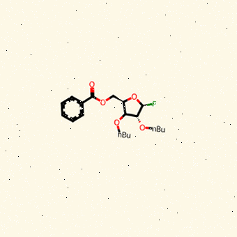 CCCCOC1[C@@H](OCCCC)[C@H](F)O[C@@H]1COC(=O)c1ccccc1